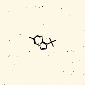 Cc1cnc2c(C(C)(C)C)ccn2c1